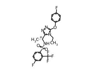 CCn1c(Oc2ccc(F)cc2)nnc1[C@@H](C)NS(=O)(=O)c1ccc(F)cc1C(F)(F)F